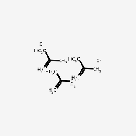 C=C(C)C(=O)O.C=C(C)C(=O)O.C=C(C)C(=O)O.[Cr].[O]